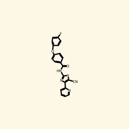 N#Cc1sc(NC(=O)c2ccc(Oc3ccc(F)cc3)cc2)nc1-c1ccccn1